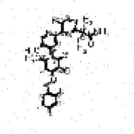 Cc1cnc(-c2nc(C(C)(C)C(N)=O)ncc2F)cc1-n1c(C)cc(OCc2ncc(F)cc2F)c(Cl)c1=O